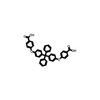 O=C(O)c1ccc(Oc2ccc(C(c3ccccc3)(c3ccccc3)c3ccc(Oc4ccc(C(=O)O)cc4)cc3)cc2)cc1